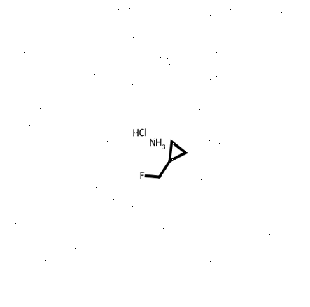 Cl.FCC1CC1.N